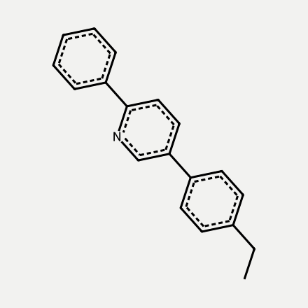 CCc1ccc(-c2ccc(-c3ccccc3)nc2)cc1